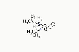 CC(C)=CCC/C(C)=C/CC(/C=C(\C)CCC=C(C)C)OC(=O)c1ccc2ccccc2c1